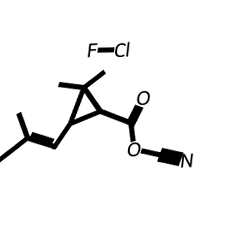 CC(C)=CC1C(C(=O)OC#N)C1(C)C.FCl